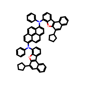 c1ccc(N(c2ccc3ccc4c(N(c5ccccc5)c5cccc6c5oc5c(C7CCCC7)cc7ccccc7c56)ccc5ccc2c3c54)c2cccc3c2oc2c(C4CCCC4)cc4ccccc4c23)cc1